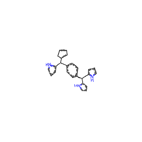 C1=CCC(C(c2ccc(C(c3ccc[nH]3)c3ccc[nH]3)cc2)c2ccc[nH]2)=C1